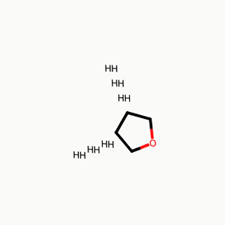 C1CCOC1.[HH].[HH].[HH].[HH].[HH].[HH]